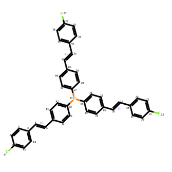 Fc1ccc(/C=C/c2ccc(P(c3ccc(/C=C/c4ccc(F)cc4)cc3)c3ccc(/C=C/c4ccc(F)cc4)cc3)cc2)cc1